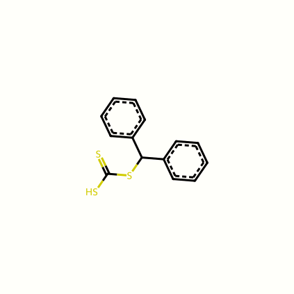 S=C(S)SC(c1ccccc1)c1ccccc1